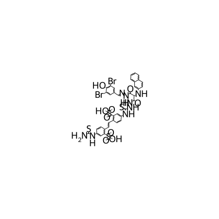 NC(=S)Nc1ccc(/C=C/c2ccc(NC(=S)NNC(=O)C(Nc3ccc4ccccc4c3)C(=O)N/N=C/c3cc(Br)c(O)c(Br)c3)cc2S(=O)(=O)O)c(S(=O)(=O)O)c1